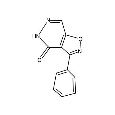 O=c1[nH]ncc2onc(-c3ccccc3)c12